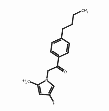 [CH2]c1cc(F)cn1CC(=O)c1ccc(CCCC)cc1